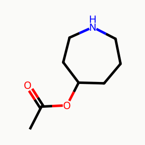 CC(=O)OC1CCCNCC1